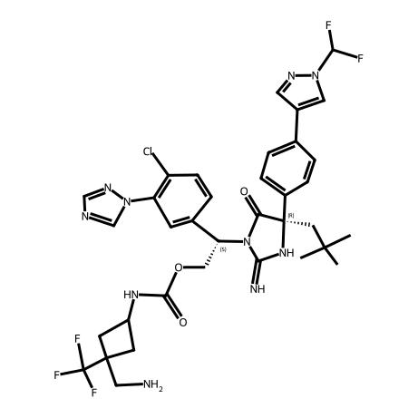 CC(C)(C)C[C@]1(c2ccc(-c3cnn(C(F)F)c3)cc2)NC(=N)N([C@H](COC(=O)NC2CC(CN)(C(F)(F)F)C2)c2ccc(Cl)c(-n3cncn3)c2)C1=O